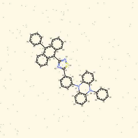 c1ccc(-c2c3ccccc3c(-c3nsc(-c4cccc(N5c6ccccc6N(c6ccccc6)c6ccccc65)c4)n3)c3ccccc23)cc1